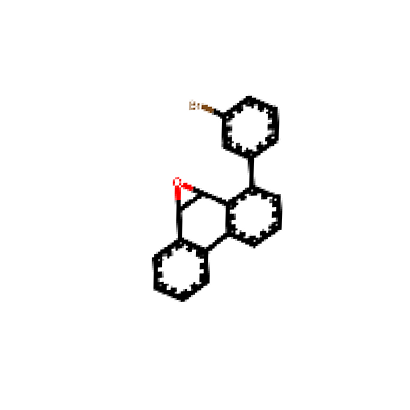 Brc1cccc(-c2cccc3c2C2OC2c2ccccc2-3)c1